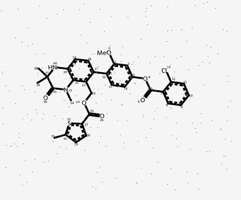 COc1cc(OC(=O)c2ccccc2Cl)ccc1-c1ccc2c(c1COC(=O)c1ccc(C)s1)N(C)C(=O)C(C)(C)N2